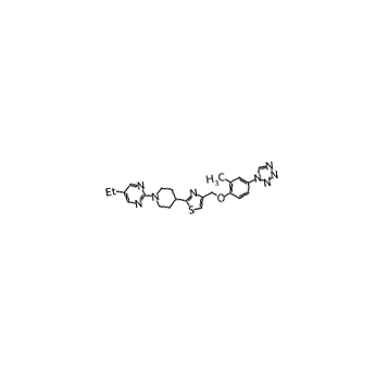 CCc1cnc(N2CCC(c3nc(COc4ccc(-n5cnnn5)cc4C)cs3)CC2)nc1